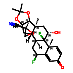 CC1(C)O[C@@H]2C[C@H]3[C@@H]4C[C@H](F)C5=CC(=O)C=C[C@]5(C)[C@@]4(F)[C@@H](O)C[C@]3(C)[C@]2(C2(C#N)CO2)O1